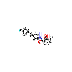 N#CC(C(=O)Nc1ccc(/C=C/c2ccc(F)cc2)cc1)=C(O)C1CC1